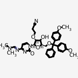 COc1ccc(C(OC[C@H]2O[C@@H](n3ccc(/N=C/N(C)C)nc3=O)[C@@H](OCCC#N)C2O)(c2ccccc2)c2ccc(OC)cc2)cc1